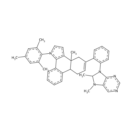 Cc1cc(C)c(-n2ccc3c2-c2ccccc2C2CC=C(c4ccccc4N4c5ncncc5N(C)C4C)CC32C)c(C)c1